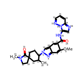 COc1cc2nn(C3CCC4(CCN(C)C4=O)CC3C)cc2cc1C(=O)Nc1cnc2cccnn12